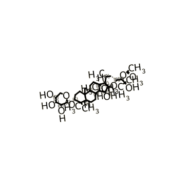 CC(=O)O[C@@H]([C@H]1C[C@@H](C)[C@H]2[C@H](O1)[C@H](O)[C@@]1(C)[C@@H]3CC[C@H]4C(C)(C)[C@@H](O[C@@H]5OC[C@@H](O)[C@H](O)[C@H]5O)CCC45C[C@@]35CC[C@]21C)C(C)(C)O